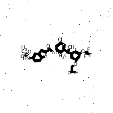 CC(C)(c1cc(Cl)cc(NC(=O)c2cc3cc(NS(C)(=O)=O)ccc3s2)c1)c1cc(OCC(F)F)cc(OC(F)(F)F)c1